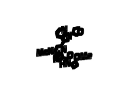 CNc1cc(-c2cn([C@H]3CCOC3)c3ncccc23)nc2c(C(=O)NC3CC[C@@H]3OC)cnn12